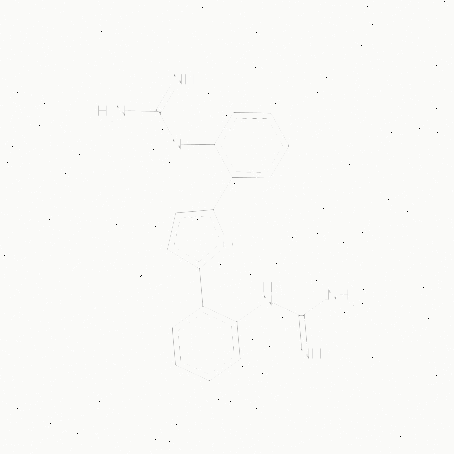 N=C(N)Nc1ccccc1-c1ccc(-c2ccccc2NC(=N)N)o1